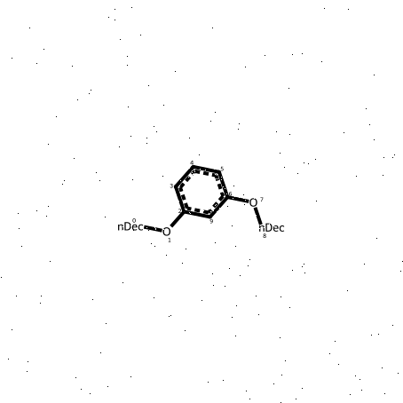 CCCCCCCCCCOc1c[c]cc(OCCCCCCCCCC)c1